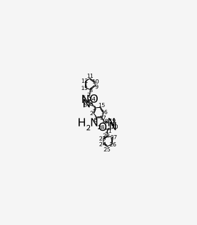 Nc1cc(-c2nnc(-c3ccccc3)o2)ccc1-c1nnc(-c2ccccc2)o1